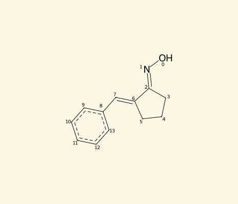 O/N=C1\CCC\C1=C/c1ccccc1